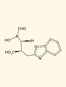 CCC[C@@H]([C@@H](Cc1nc2ccccc2o1)C(=O)O)N(O)C=O